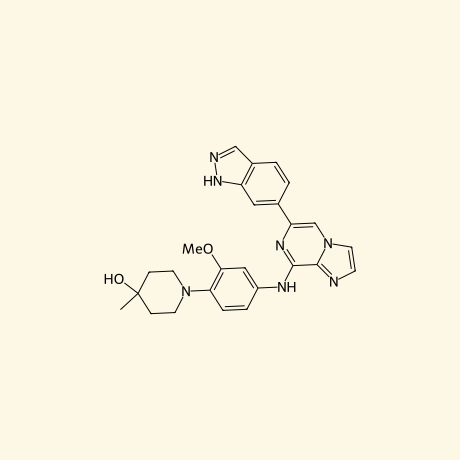 COc1cc(Nc2nc(-c3ccc4cn[nH]c4c3)cn3ccnc23)ccc1N1CCC(C)(O)CC1